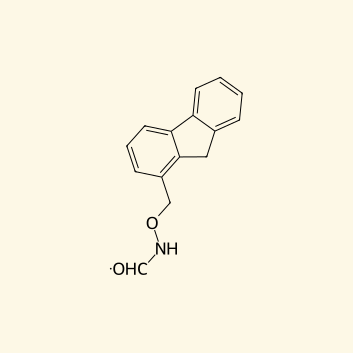 O=[C]NOCc1cccc2c1Cc1ccccc1-2